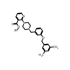 Cc1cc(C)cc(COc2cccc(CN3CCN(c4ncccc4C(=O)OC(C)C)CC3)c2)c1